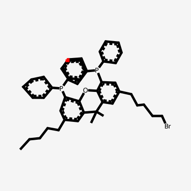 CCCCCc1cc(P(c2ccccc2)c2ccccc2)c2c(c1)C(C)(C)c1cc(CCCCCBr)cc(P(c3ccccc3)c3ccccc3)c1O2